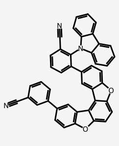 N#Cc1cccc(-c2ccc3oc4ccc5oc6ccc(-c7cccc(C#N)c7-n7c8ccccc8c8ccccc87)cc6c5c4c3c2)c1